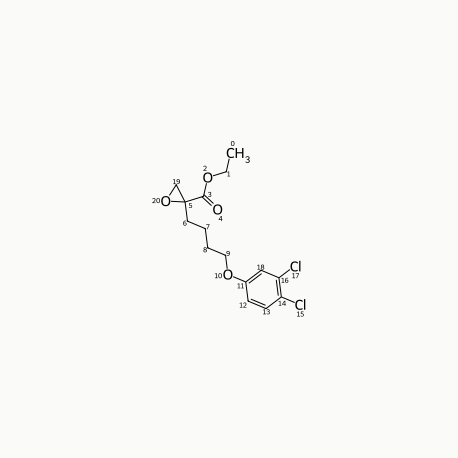 CCOC(=O)C1(CCCCOc2ccc(Cl)c(Cl)c2)CO1